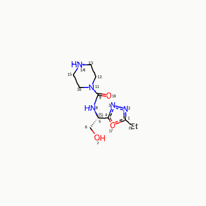 CCc1nnc([C@H](CO)NC(=O)N2CCNCC2)o1